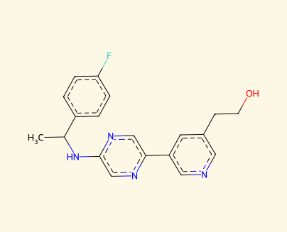 CC(Nc1cnc(-c2cncc(CCO)c2)cn1)c1ccc(F)cc1